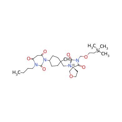 CCCCN1C(=O)CC(=O)N(C2CCC(C)(CN3C(=O)N(COCC[Si](C)(C)C)C(=O)[C@@]34CCOC4)CC2)C1=O